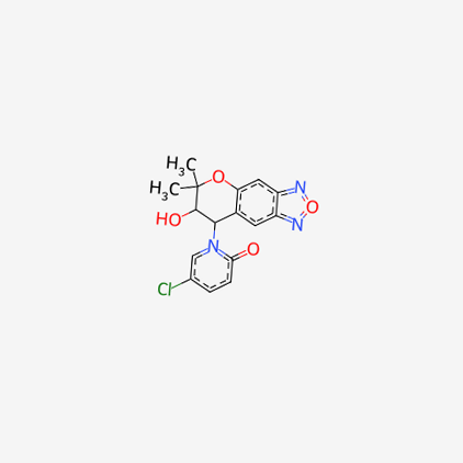 CC1(C)Oc2cc3nonc3cc2C(n2cc(Cl)ccc2=O)C1O